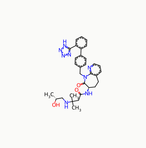 C[C@@H](O)CNC(C)(C)CC(=O)N[C@@H]1CCc2cccnc2N(Cc2ccc(-c3ccccc3-c3nnn[nH]3)cc2)C1=O